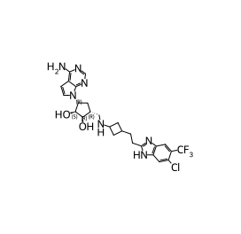 Nc1ncnc2c1ccn2[C@@H]1C[C@H](CNC2CC(CCc3nc4cc(C(F)(F)F)c(Cl)cc4[nH]3)C2)[C@@H](O)[C@H]1O